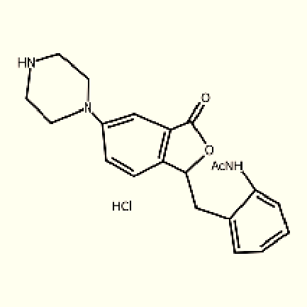 CC(=O)Nc1ccccc1CC1OC(=O)c2cc(N3CCNCC3)ccc21.Cl